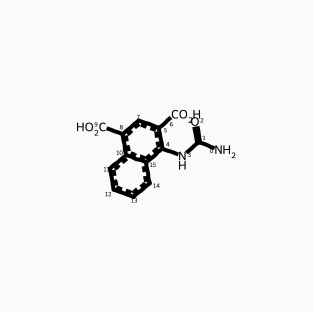 NC(=O)Nc1c(C(=O)O)cc(C(=O)O)c2ccccc12